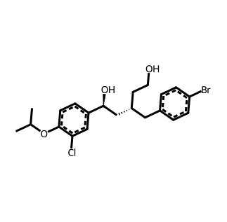 CC(C)Oc1ccc([C@@H](O)C[C@H](CCO)Cc2ccc(Br)cc2)cc1Cl